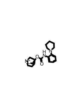 O=C(Nc1ccccc1N1CCCCC1)OC1CN2CCC1CC2